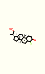 CC(CO)[C@H]1CC[C@H]2[C@@H]3CCC4C(F)C(=O)C=C[C@]4(C)[C@H]3CC[C@]12C